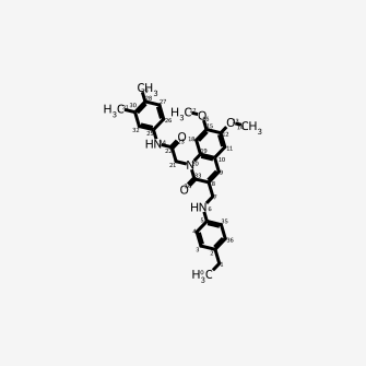 CCc1ccc(NCc2cc3cc(OC)c(OC)cc3n(CC(=O)Nc3ccc(C)c(C)c3)c2=O)cc1